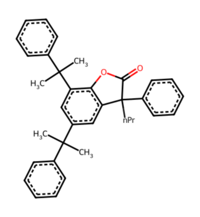 CCCC1(c2ccccc2)C(=O)Oc2c(C(C)(C)c3ccccc3)cc(C(C)(C)c3ccccc3)cc21